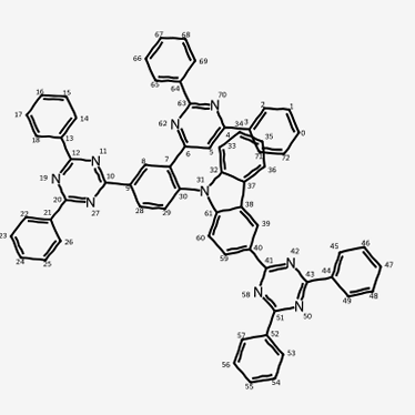 c1ccc(-c2cc(-c3cc(-c4nc(-c5ccccc5)nc(-c5ccccc5)n4)ccc3-n3c4ccccc4c4cc(-c5nc(-c6ccccc6)nc(-c6ccccc6)n5)ccc43)nc(-c3ccccc3)n2)cc1